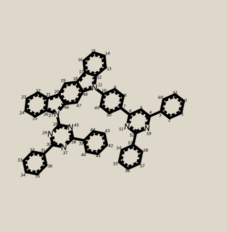 c1ccc(-c2cc(-c3ccc(-n4c5ccccc5c5cc6c7ccccc7n(-c7nc(-c8ccccc8)nc(-c8ccccc8)n7)c6cc54)cc3)nc(-c3ccccc3)n2)cc1